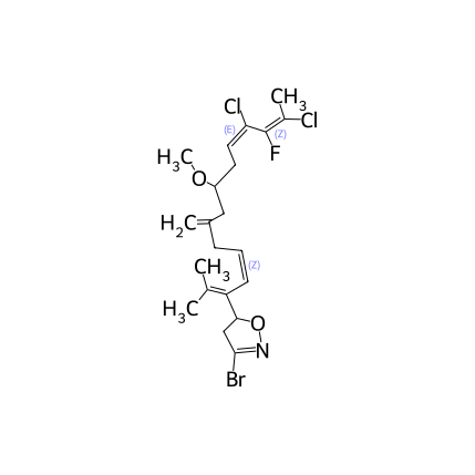 C=C(C/C=C\C(=C(C)C)C1CC(Br)=NO1)CC(C/C=C(Cl)\C(F)=C(/C)Cl)OC